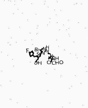 CC1(C)C(C(=O)C=O)NCN1CCNc1ncc(Br)c(-c2cc(CCO)c(Cc3ccc(F)cc3)s2)n1